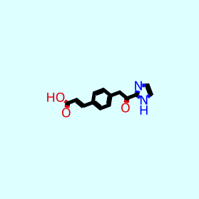 O=C(O)/C=C/c1ccc(CC(=O)c2ncc[nH]2)cc1